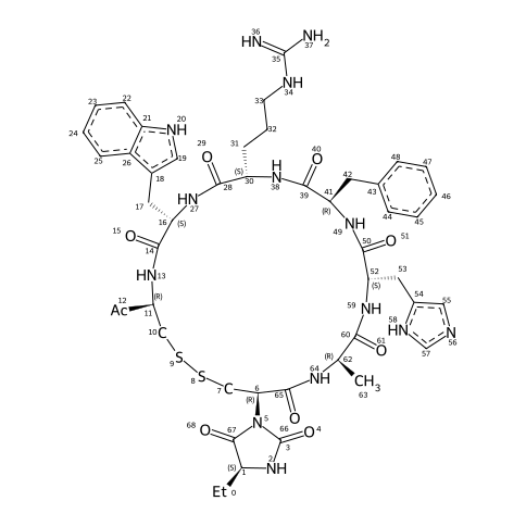 CC[C@@H]1NC(=O)N([C@H]2CSSC[C@@H](C(C)=O)NC(=O)[C@H](Cc3c[nH]c4ccccc34)NC(=O)[C@H](CCCNC(=N)N)NC(=O)[C@@H](Cc3ccccc3)NC(=O)[C@H](Cc3cnc[nH]3)NC(=O)[C@@H](C)NC2=O)C1=O